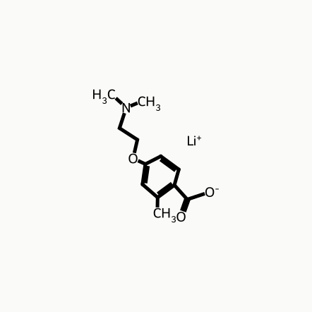 Cc1cc(OCCN(C)C)ccc1C(=O)[O-].[Li+]